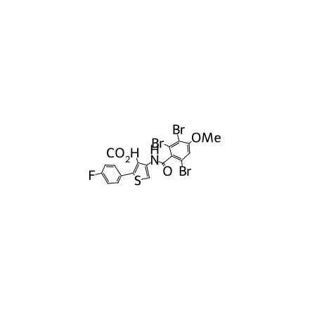 COc1cc(Br)c(C(=O)Nc2csc(-c3ccc(F)cc3)c2C(=O)O)c(Br)c1Br